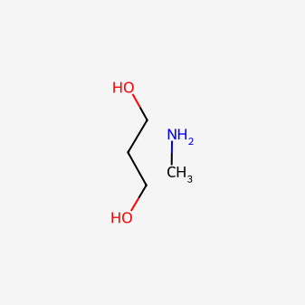 CN.OCCCO